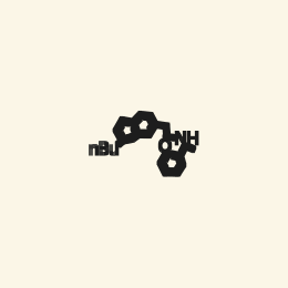 CCCCc1ccc2ccc(CC(=O)NC(C)c3ccccc3)cc2c1